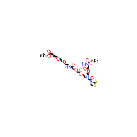 CCCOC(=O)CCCOCCOCCNC(=O)COCC(=O)OCCN(CCOC(=O)CNC(=O)OCCC)CC(=O)N1CCSC1=S